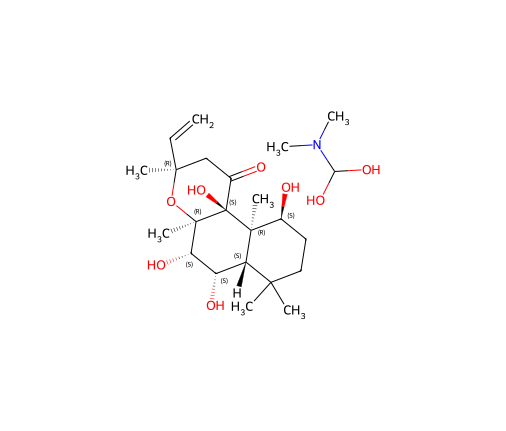 C=C[C@@]1(C)CC(=O)[C@]2(O)[C@@]3(C)[C@@H](O)CCC(C)(C)[C@@H]3[C@H](O)[C@H](O)[C@@]2(C)O1.CN(C)C(O)O